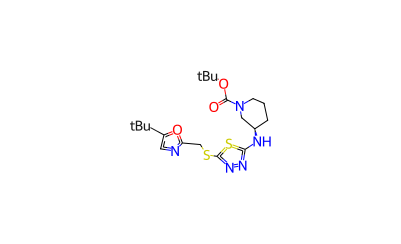 CC(C)(C)OC(=O)N1CCC[C@@H](Nc2nnc(SCc3ncc(C(C)(C)C)o3)s2)C1